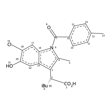 CC[C@@H](C)C(C(=O)O)c1c(C)n(C(=O)c2ccc(C)cc2)c2cc(Cl)c(O)cc12